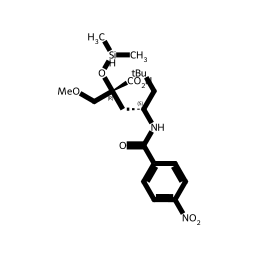 COC[C@@](C[C@H](CC(C)(C)C)NC(=O)c1ccc([N+](=O)[O-])cc1)(O[SiH](C)C)C(=O)O